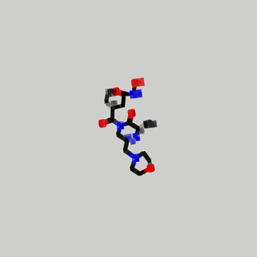 CC(C)C[C@H](CC(=O)NO)C(=O)N(CCCN1CCOCC1)C(=O)[C@@H](N)C(C)(C)C